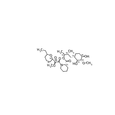 CCC1CC[C@@H](C)[C@](O)(C(=O)C(=O)N2CCCC[C@H]2C(=O)O[C@@H](C)[C@H](C)C[C@@H]2CC[C@@H](O)[C@H](OC)[C@H]2O)O1